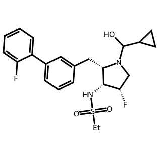 CCS(=O)(=O)N[C@H]1[C@@H](F)CN(C(O)C2CC2)[C@H]1Cc1cccc(-c2ccccc2F)c1